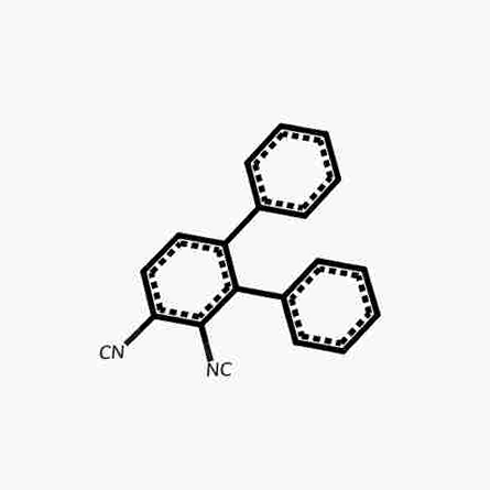 [C-]#[N+]c1ccc(-c2ccccc2)c(-c2ccccc2)c1[N+]#[C-]